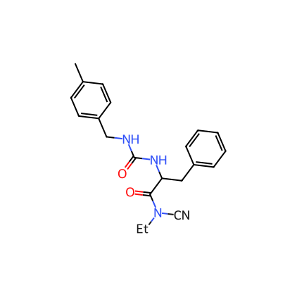 CCN(C#N)C(=O)C(Cc1ccccc1)NC(=O)NCc1ccc(C)cc1